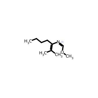 CCCCC(/N=C\OC)=C(C)C